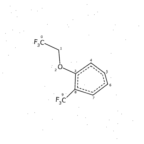 FC(F)(F)COc1c[c]ccc1C(F)(F)F